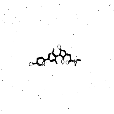 CCN(C)C(=O)CC1CC(=O)C(c2c(C)cc(-c3ccc(Cl)cn3)cc2C)C1=O